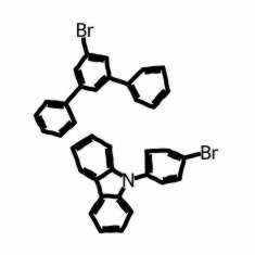 Brc1cc(-c2ccccc2)cc(-c2ccccc2)c1.Brc1ccc(-n2c3ccccc3c3ccccc32)cc1